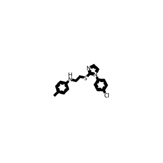 Cc1ccc(NCCSc2nccn2-c2ccc(Cl)cc2)cc1